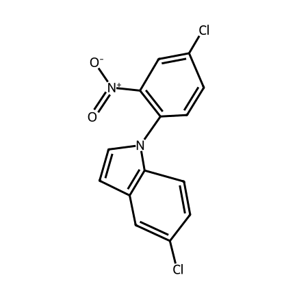 O=[N+]([O-])c1cc(Cl)ccc1-n1ccc2cc(Cl)ccc21